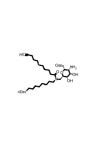 C#CCCCCCCCCC(=O)N(CCCCCCCCCCCCCCCCCC)C[C@H]1O[C@H](OC)[C@H](N)[C@@H](O)[C@@H]1O